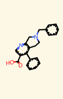 O=C(O)c1cnc2c(c1-c1ccccc1)CCN(Cc1ccccc1)C2